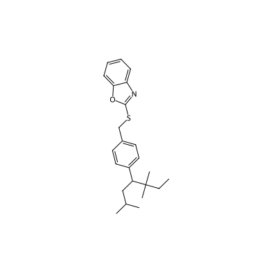 CCC(C)(C)C(CC(C)C)c1ccc(CSc2nc3ccccc3o2)cc1